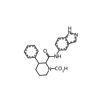 O=C(Nc1ccc2[nH]ncc2c1)C1C(c2ccccc2)CCCN1C(=O)O